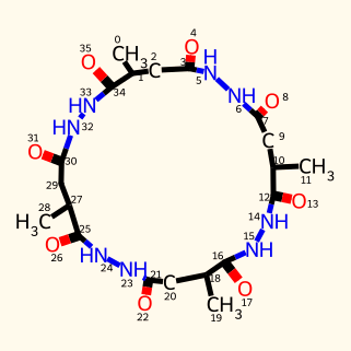 CC1CC(=O)NNC(=O)CC(C)C(=O)NNC(=O)C(C)CC(=O)NNC(=O)C(C)CC(=O)NNC1=O